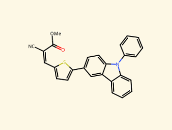 COC(=O)C(C#N)=Cc1ccc(-c2ccc3c(c2)c2ccccc2n3-c2ccccc2)s1